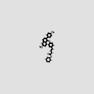 COc1ccc(-c2ccc3cc(OC)ccc3c2Oc2ccc(C=CCC(=O)OC3CCCCC3)cc2)cc1